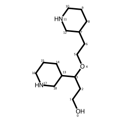 OCCC(OCCC1CCCNC1)C1CCCNC1